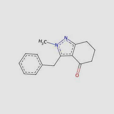 Cn1nc2c(c1Cc1ccccc1)C(=O)CCC2